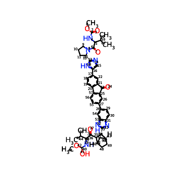 COC(=O)NC(C(=O)N1CCC[C@H]1c1ncc(-c2ccc3c(c2)C(=O)c2cc(-c4ccc5nc([C@H]6C(C(=O)[C@@H](NC(O)OC)C(C)C)[C@@H]7CC[C@H]6C7)[nH]c5c4)ccc2-3)[nH]1)C(C)C